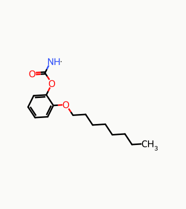 CCCCCCCCOc1ccccc1OC([NH])=O